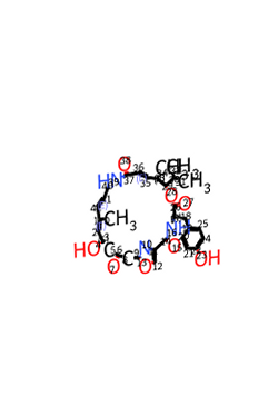 CC1=C\[C@@H](O)CC(=O)Cc2nc(co2)C(=O)N[C@H](Cc2ccc(O)cc2)C(=O)OC(C(C)C)[C@H](C)/C=C/C(=O)NC\C=C\1